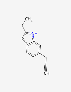 C#CCc1ccc2cc(CC)[nH]c2c1